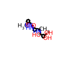 COc1ccccc1CNC(=O)Nc1cccc(C[C@H](C)NC[C@@H](O)c2ccc(O)c(CO)c2)c1